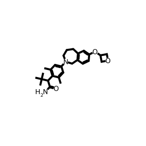 Cc1cc(N2CCCc3cc(OC4COC4)ccc3C2)cc(C)c1C(C(N)=O)C(C)(C)C